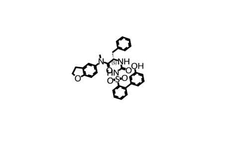 CN(C(=O)[C@H](Cc1ccccc1)NC(=O)NS(=O)(=O)c1ccccc1-c1cccc(O)c1)c1ccc2c(c1)CCO2